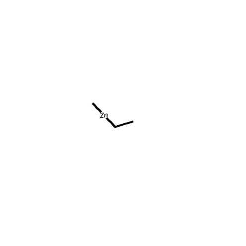 C[CH2][Zn][CH3]